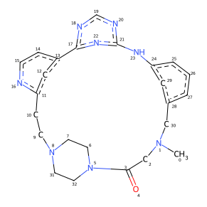 CN1CC(=O)N2CCN(CCc3cc(ccn3)-c3ncnc(n3)Nc3cccc(c3)C1)CC2